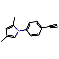 C#Cc1ccc(-n2cc(C)cc2C)cc1